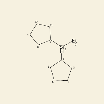 CC[SiH](C1CCCC1)C1CCCC1